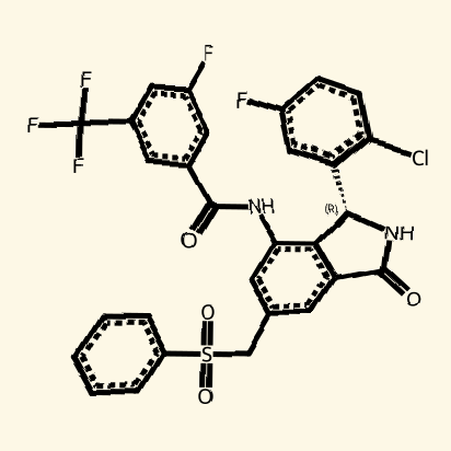 O=C(Nc1cc(CS(=O)(=O)c2ccccc2)cc2c1[C@H](c1cc(F)ccc1Cl)NC2=O)c1cc(F)cc(C(F)(F)F)c1